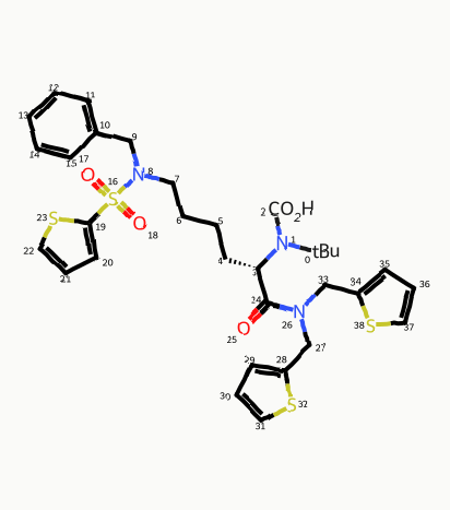 CC(C)(C)N(C(=O)O)[C@@H](CCCCN(Cc1ccccc1)S(=O)(=O)c1cccs1)C(=O)N(Cc1cccs1)Cc1cccs1